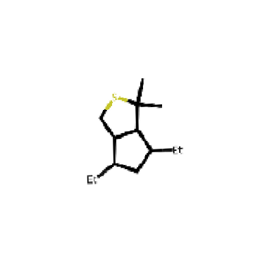 CCC1CC(CC)C2C1CSC2(C)C